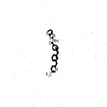 O=C(Nc1nc2cccnc2s1)C1CC2CCC1C/C2=C\c1cccc(Cc2ccc(C(F)(F)F)cn2)c1